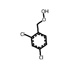 OOCc1ccc(Cl)cc1Cl